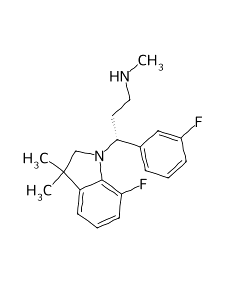 CNCC[C@H](c1cccc(F)c1)N1CC(C)(C)c2cccc(F)c21